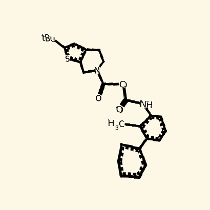 Cc1c(NC(=O)OC(=O)N2CCc3cc(C(C)(C)C)sc3C2)cccc1-c1ccccc1